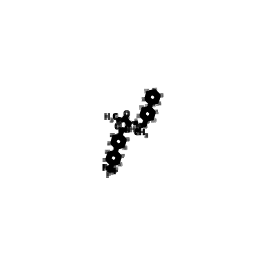 COC(=O)[C@H](CN(C)Cc1ccc(-c2ccccc2)cc1)NC(=O)c1ccc(-c2ccc(C(F)(F)F)cc2)cc1